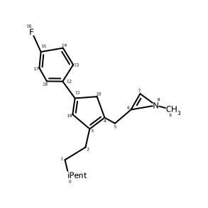 CCCC(C)CCC1=C(CC2=CN2C)CC(c2ccc(F)cc2)=C1